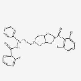 O=C(N[C@@H](CCN1CC2CN(C(=O)c3c(F)cccc3Cl)CC2C1)c1ccccc1)c1ccccc1F